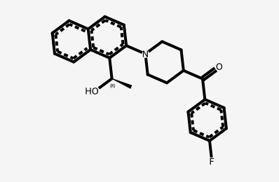 C[C@@H](O)c1c(N2CCC(C(=O)c3ccc(F)cc3)CC2)ccc2ccccc12